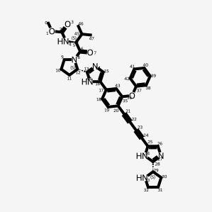 COC(=O)N[C@H](C(=O)N1CCC[C@H]1c1ncc(-c2ccc(C#CC#Cc3cnc([C@@H]4CCCN4)[nH]3)c(Oc3ccccc3)c2)[nH]1)C(C)C